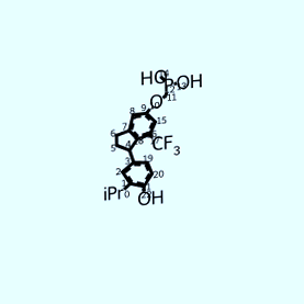 CC(C)c1cc(C2CCc3cc(OCP(O)O)cc(C(F)(F)F)c32)ccc1O